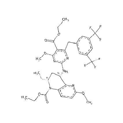 CCOC(=O)c1c(Cc2cc(C(F)(F)F)cc(C(F)(F)F)c2)nc(N[C@H]2C[C@@H](CC)N(C(=O)OCC)c3ccc(OC)nc32)nc1OC